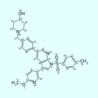 COc1ccc(-c2cn(S(=O)(=O)c3ccc(C)cc3)c3ncc(-c4ccc(CN5CCC(O)CC5)cc4)cc23)cn1